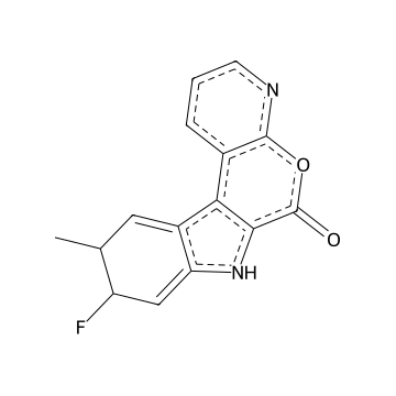 CC1C=c2c([nH]c3c(=O)oc4ncccc4c23)=CC1F